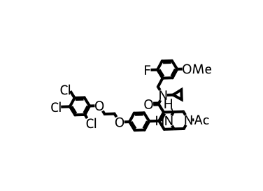 COc1ccc(F)c(CN(C(=O)C2=C(c3ccc(OCCOc4cc(Cl)c(Cl)cc4Cl)cc3)CC3CN(C(C)=O)C[C@H]2N3)C2CC2)c1